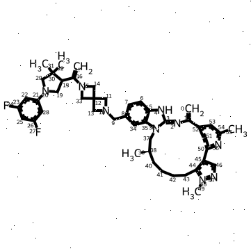 C=C1/N=C2\Nc3ccc(CN4CC5(C4)CN(C(=C)C4CN(c6cc(F)cc(F)c6)CC4(C)C)C5)cc3N2C[C@H](C)CCCCc2c(cnn2C)-c2cc1cc(C)n2